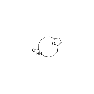 O=C1CCCCC2CC=C(CCCCN1)O2